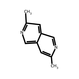 Cc1cc2cnc(C)cc2cn1